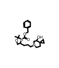 CC1(C)OCC(CCCN2CCC3(CC3)C(O)C2)N1C(=O)OCc1ccccc1